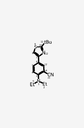 CCN(CC)c1ccc(-c2csc(C(C)(C)C)n2)cc1C#N